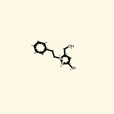 CC(C)c1cc(CO)n(CCc2ccccc2)n1